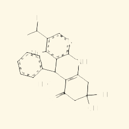 CC1(C)CC(=O)C2=C(C1)Nc1ncc(C(F)F)c(C#N)c1[C@]2(C)c1ccccc1